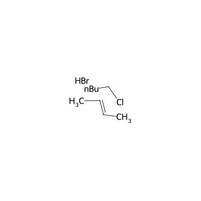 Br.CC=CC.CCCCCCl